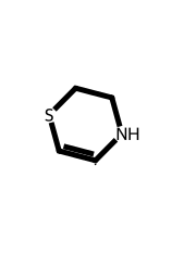 [C]1=CSCCN1